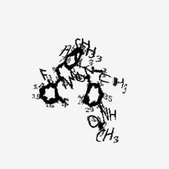 CCN(C[C@@]12CC[C@@H](c3cc(-c4c(F)cccc4F)nnc31)C2(C)C)C(=O)c1ccc(NC(C)=O)cc1